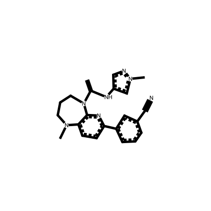 C=C(Nc1cnn(C)c1)N1CCCN(C)c2ccc(-c3cccc(C#N)c3)nc21